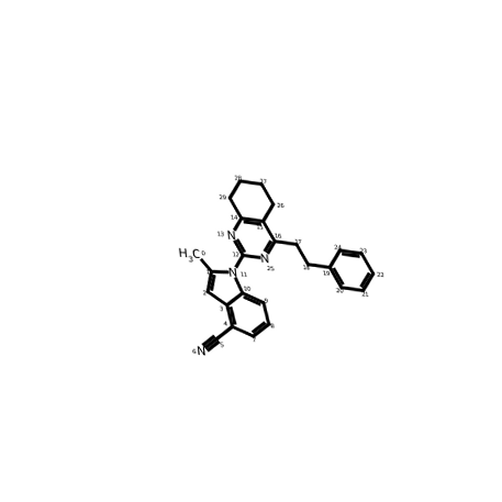 Cc1cc2c(C#N)cccc2n1-c1nc2c(c(CCc3ccccc3)n1)CCCC2